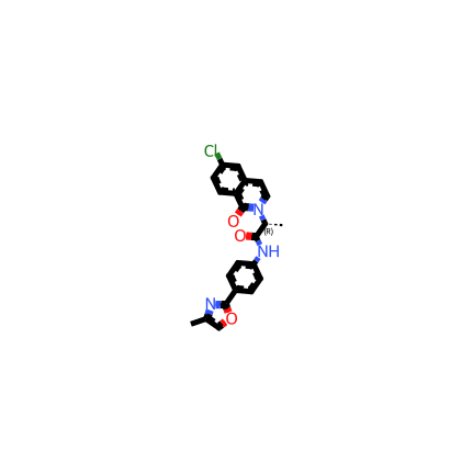 Cc1coc(-c2ccc(NC(=O)[C@@H](C)n3ccc4cc(Cl)ccc4c3=O)cc2)n1